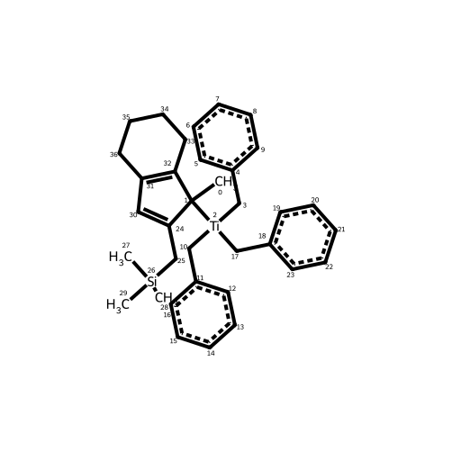 C[C]1([Ti]([CH2]c2ccccc2)([CH2]c2ccccc2)[CH2]c2ccccc2)C(C[Si](C)(C)C)=CC2=C1CCCC2